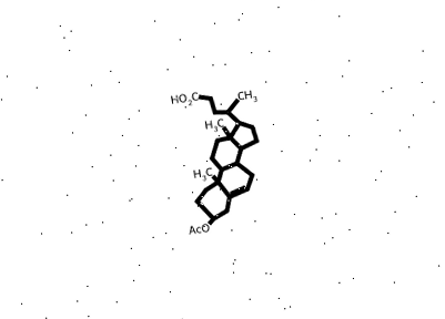 CC(=O)OC1CCC2(C)C(=CCC3C2CCC2(C)C(C(C)CCC(=O)O)CCC32)C1